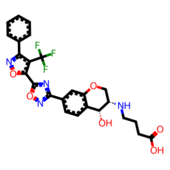 O=C(O)CCCN[C@H]1COc2cc(-c3noc(-c4onc(-c5ccccc5)c4C(F)(F)F)n3)ccc2[C@H]1O